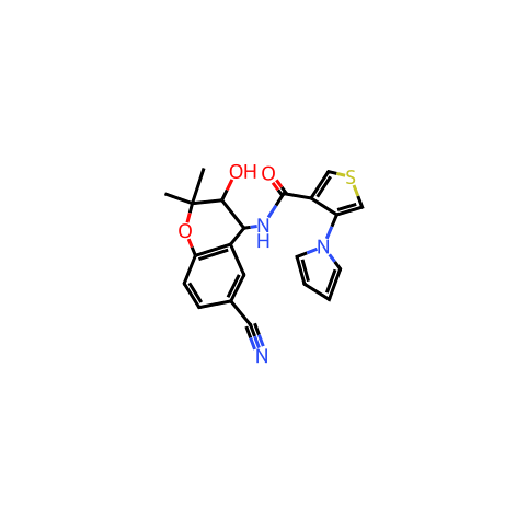 CC1(C)Oc2ccc(C#N)cc2C(NC(=O)c2cscc2-n2cccc2)C1O